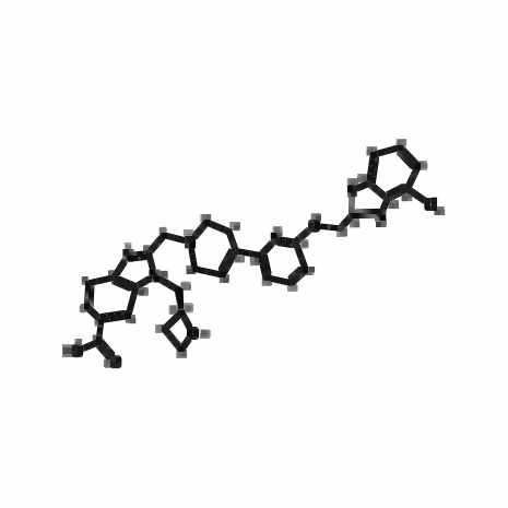 O=C(O)c1ccc2nc(CN3CC=C(c4cccc(OCc5nc6c(Cl)cccc6s5)n4)CC3)n(C[C@@H]3CCO3)c2c1